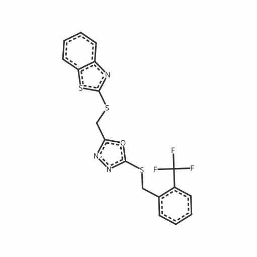 FC(F)(F)c1ccccc1CSc1nnc(CSc2nc3ccccc3s2)o1